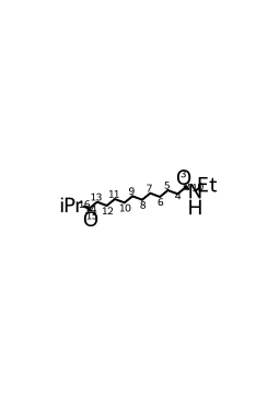 CCNC(=O)CCCCCCCCCCC(=O)C(C)C